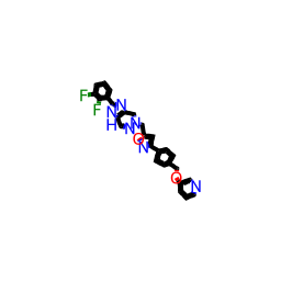 Fc1cccc(-c2nc3c([nH]2)C=NN(Cc2cc(-c4ccc(COc5cccnc5)cc4)no2)C3)c1F